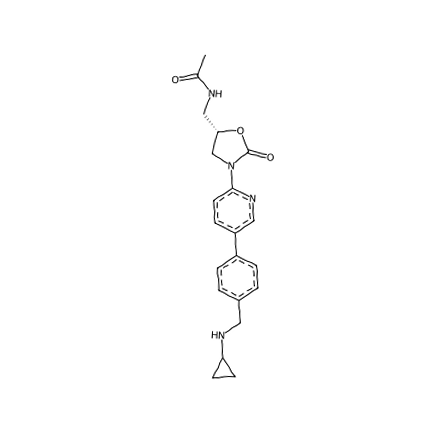 CC(=O)NC[C@H]1CN(c2ccc(-c3ccc(CNC4CC4)cc3)cn2)C(=O)O1